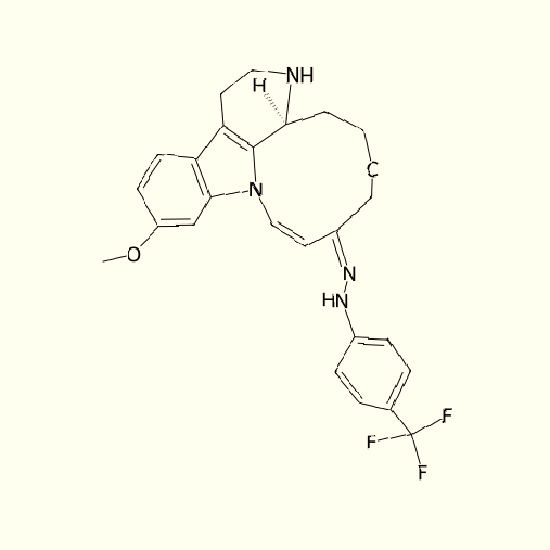 COc1ccc2c3c4n(c2c1)/C=C\C(=N/Nc1ccc(C(F)(F)F)cc1)CCCC[C@@H]4NCC3